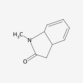 CN1C(=O)CC2C=CC=CC21